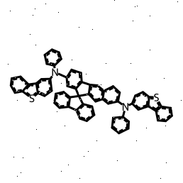 c1ccc(N(c2ccc3c(c2)C2(c4ccccc4-c4ccccc42)c2cc4cc(N(c5ccccc5)c5ccc6sc7ccccc7c6c5)ccc4cc2-3)c2ccc3sc4ccccc4c3c2)cc1